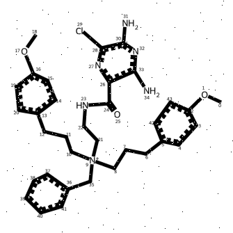 COc1ccc(CCC[N+](CCCc2ccc(OC)cc2)(CCNC(=O)c2nc(Cl)c(N)nc2N)Cc2ccccc2)cc1